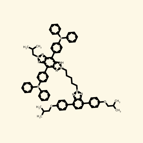 CC(C)COc1ccc(-c2ccc(-c3ccc(OCC(C)C)cc3)c3nn(CCCCC[n+]4nc5c(-c6ccc(N(c7ccccc7)c7ccccc7)cc6)c6nn(CC(C)C)nc6c(-c6ccc(N(c7ccccc7)c7ccccc7)cc6)c5[nH]4)nc23)cc1